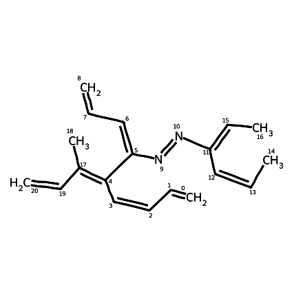 C=C\C=C/C(/C(=C\C=C)N=NC(/C=C\C)=C/C)=C(/C)C=C